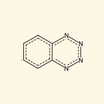 [c]1ccc2nnnnc2c1